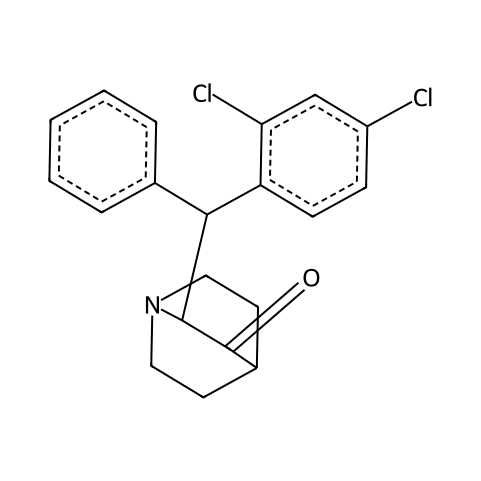 O=C1C2CCN(CC2)C1C(c1ccccc1)c1ccc(Cl)cc1Cl